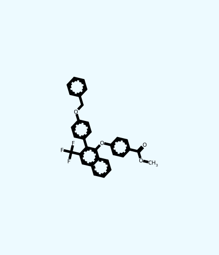 COC(=O)c1ccc(Oc2c(-c3ccc(OCc4ccccc4)cc3)c(C(F)(F)F)cc3ccccc23)cc1